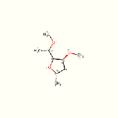 CO[C@@H](C)C1O[C@@H](C)C[C@@H]1OC